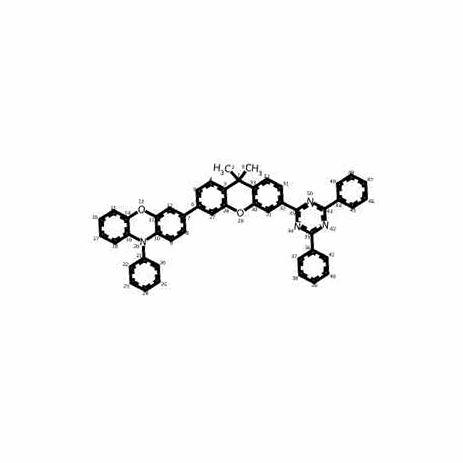 CC1(C)c2ccc(-c3ccc4c(c3)Oc3ccccc3N4c3ccccc3)cc2Oc2cc(-c3nc(-c4ccccc4)nc(-c4ccccc4)n3)ccc21